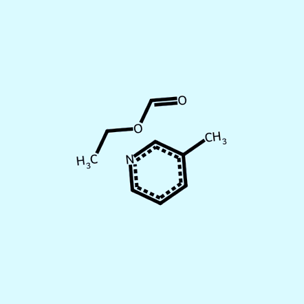 CCOC=O.Cc1cccnc1